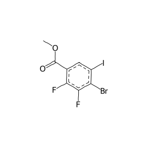 COC(=O)c1cc(I)c(Br)c(F)c1F